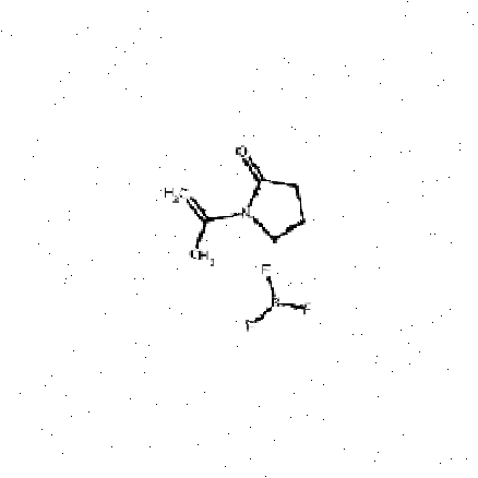 C=C(C)N1CCCC1=O.FB(F)F